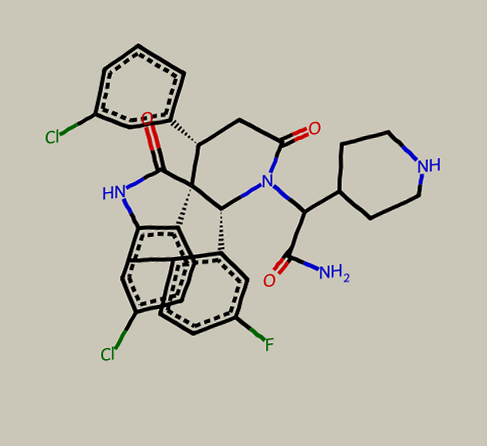 Cc1ccc(F)cc1[C@H]1N(C(C(N)=O)C2CCNCC2)C(=O)C[C@@H](c2cccc(Cl)c2)[C@]12C(=O)Nc1cc(Cl)ccc12